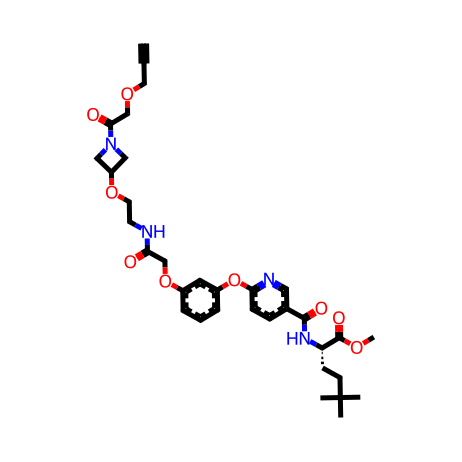 C#CCOCC(=O)N1CC(OCCNC(=O)COc2cccc(Oc3ccc(C(=O)N[C@@H](CCC(C)(C)C)C(=O)OC)cn3)c2)C1